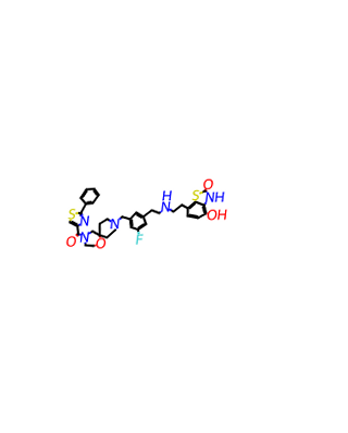 O=C(c1csc(-c2ccccc2)n1)N1CCOC2(CCN(Cc3cc(F)cc(CCNCCc4ccc(O)c5[nH]c(=O)sc45)c3)CC2)C1